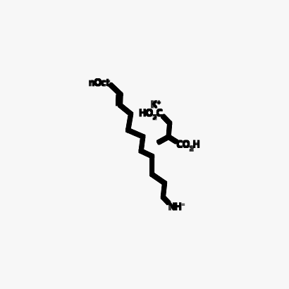 CC(CC(=O)O)C(=O)O.CCCCCCCCC=CCCCCCCCC[NH-].[K+]